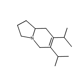 CC(C)C1=C(C(C)C)CN2CCCC2C1